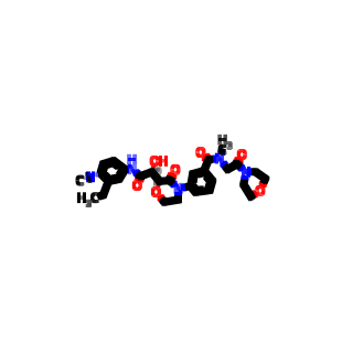 [C-]#[N+]c1ccc(NC(=O)[C@H](O)[C@H]2OCCN(c3cccc(C(=O)N(C)CC(=O)N4CCOCC4)c3)C2=O)cc1CC